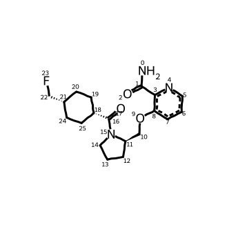 NC(=O)c1ncccc1OC[C@H]1CCCN1C(=O)[C@H]1CC[C@@H](CF)CC1